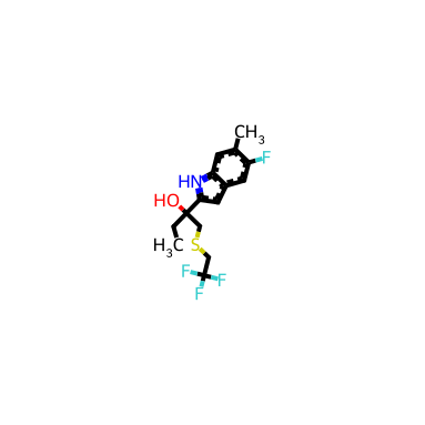 CCC(O)(CSCC(F)(F)F)c1cc2cc(F)c(C)cc2[nH]1